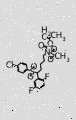 C=C(C)OC(=O)N(CCCCC(c1cc(F)ccc1F)S(=O)(=O)c1ccc(Cl)cc1)S(C)(=O)=O